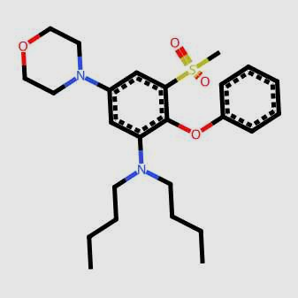 CCCCN(CCCC)c1cc(N2CCOCC2)cc(S(C)(=O)=O)c1Oc1ccccc1